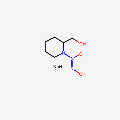 [NaH].[O-][N+](=NO)N1CCCCC1CO